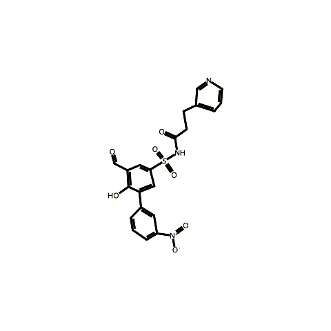 O=Cc1cc(S(=O)(=O)NC(=O)CCc2cccnc2)cc(-c2cccc([N+](=O)[O-])c2)c1O